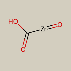 [O]=[Zr][C](=O)O